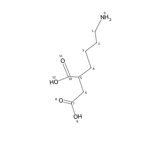 NCCCCC(CC(=O)O)C(=O)O